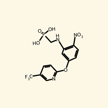 O=[N+]([O-])c1ccc(Oc2ccc(C(F)(F)F)cn2)cc1NCP(=O)(O)O